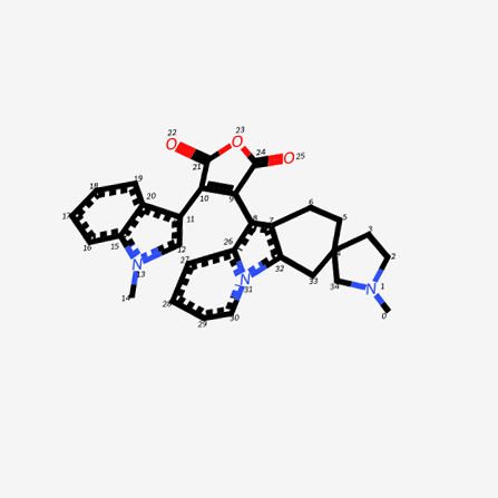 CN1CCC2(CCc3c(C4=C(c5cn(C)c6ccccc56)C(=O)OC4=O)c4ccccn4c3C2)C1